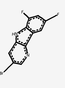 Fc1cc(F)c2[nH]c3cc(Br)cnc3c2c1